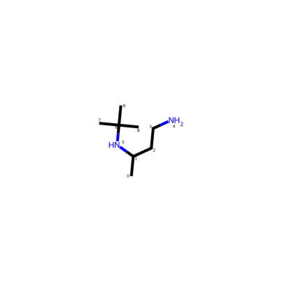 CC(CCN)NC(C)(C)C